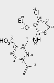 C=C(C)c1ccc(C(=O)O)c(CNc2cccc(Cl)c2OCC)n1